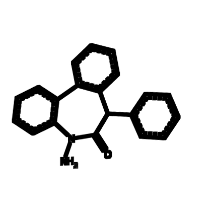 NN1C(=O)C(c2ccccc2)c2ccccc2-c2ccccc21